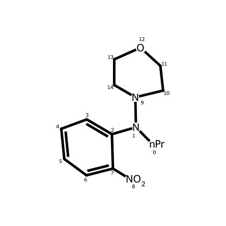 CCCN(c1ccccc1[N+](=O)[O-])N1CCOCC1